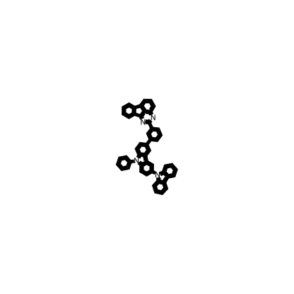 c1ccc(-n2c3ccc(-c4cccc(-c5nc6c7c(cccc7n5)-c5ccccc5-6)c4)cc3c3cc(-n4c5ccccc5c5ccccc54)ccc32)cc1